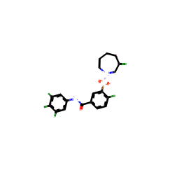 O=C(Nc1cc(F)c(F)c(F)c1)c1ccc(F)c(S(=O)(=O)N2CCC[C@H](O)C(F)C2)c1